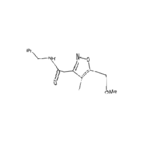 COCc1onc(C(=O)NCC(C)C)c1C